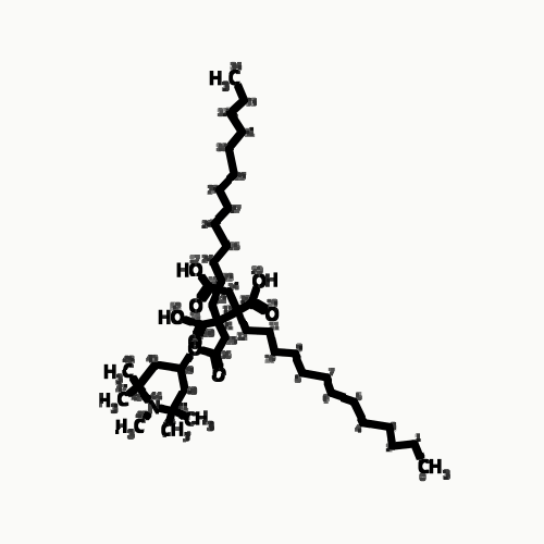 CCCCCCCCCCCCCC(CC(=O)O)(C(=O)O)C(CCCCCCCCCCCCC)(CC(=O)OC1CC(C)(C)N(C)C(C)(C)C1)C(=O)O